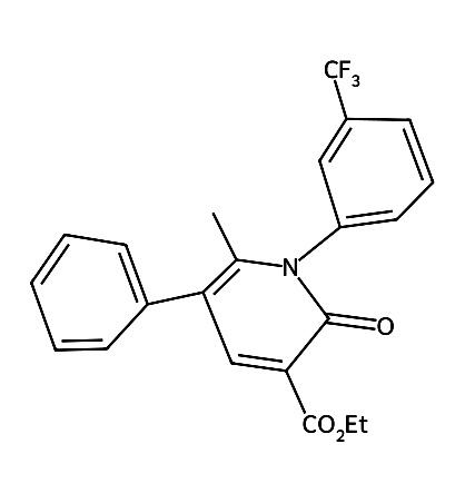 CCOC(=O)c1cc(-c2ccccc2)c(C)n(-c2cccc(C(F)(F)F)c2)c1=O